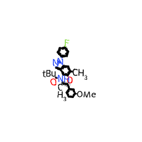 COc1cccc([C@H](Oc2cc3cnn(-c4ccc(F)cc4)c3cc2C)[C@H](C)NC(=O)C(C)(C)C)c1